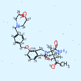 [2H]C([2H])(C(C)=O)C([2H])([2H])[C@@]([2H])(C(N)=O)N1Cc2c(OCc3ccc(CN4CCOCC4)cc3)cccc2C1=O